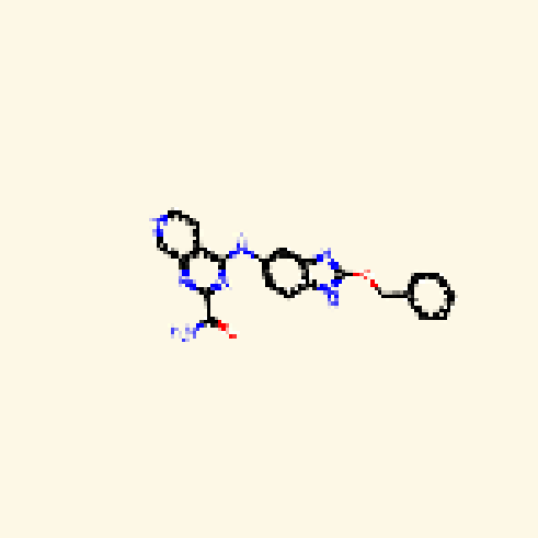 NC(=O)c1nc(Nc2ccc3[nH]c(OCc4ccccc4)nc3c2)c2c[c]ncc2n1